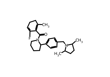 CC1=C(C(=O)N2CCCCC2c2ccc(CN3C(C)CCC3C)cc2)C(F)=CCC1